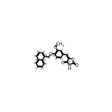 COc1cc(C=C2SC(=O)NC2=O)ccc1OCc1cccc2ccccc12